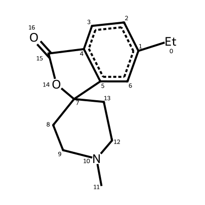 CCc1ccc2c(c1)C1(CCN(C)CC1)OC2=O